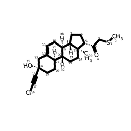 CSCC(=O)[C@H]1CC[C@H]2[C@@H]3CC=C4C[C@](O)(C#CCl)CC[C@@H]4[C@H]3CC[C@]12C